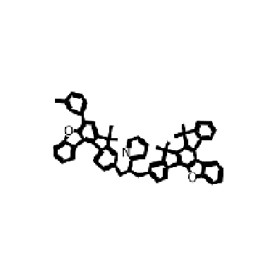 Cc1cccc(-c2cc3c(c4c2oc2ccccc24)-c2ccc(CC(Cc4ccc5c(c4)C(C)(C)c4c6c(c7c(oc8ccccc87)c4-5)-c4ccccc4C6(C)C)c4ccccn4)cc2C3(C)C)c1